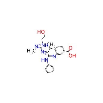 C=C1/C(=N\C(=N/C)NCCO)C(Nc2ccccc2)=Nc2cc(C(=O)O)ccc21